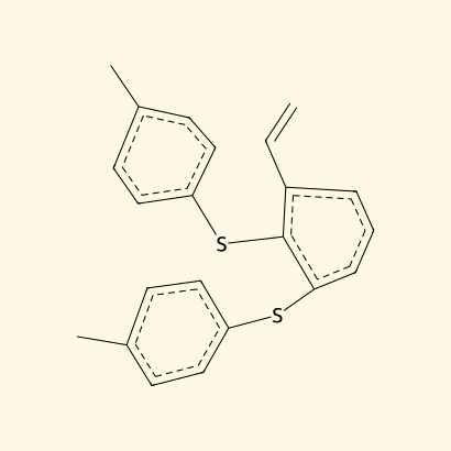 C=Cc1cccc(Sc2ccc(C)cc2)c1Sc1ccc(C)cc1